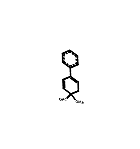 COC1(C=O)C=CC(c2ccccc2)=CC1